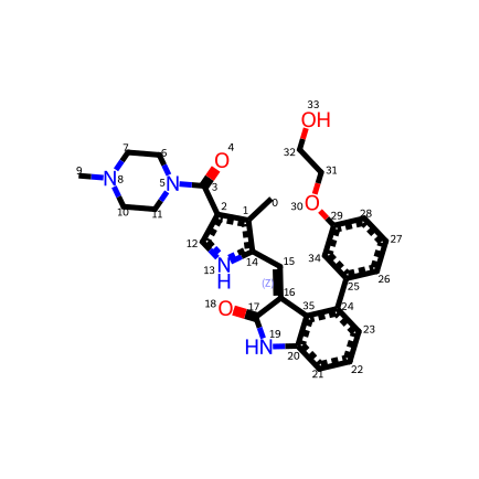 Cc1c(C(=O)N2CCN(C)CC2)c[nH]c1/C=C1\C(=O)Nc2cccc(-c3cccc(OCCO)c3)c21